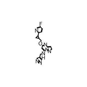 Cn1cc(CNc2cc(OCC3CC3c3ccc(F)cn3)nc3ccnn23)cn1